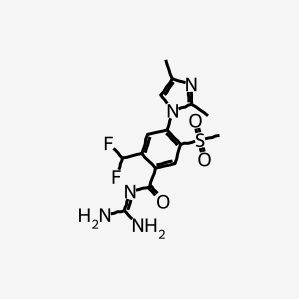 Cc1cn(-c2cc(C(F)F)c(C(=O)N=C(N)N)cc2S(C)(=O)=O)c(C)n1